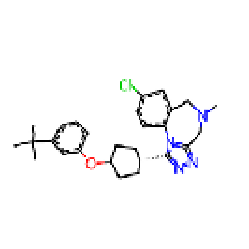 CN1Cc2cc(Cl)ccc2-n2c(nnc2[C@H]2CC[C@H](Oc3cccc(C(C)(C)C)c3)CC2)C1